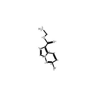 CCOC(=O)c1ncn2nc(Br)ccc12